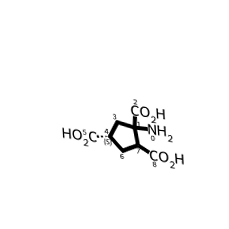 NC1(C(=O)O)C[C@@H](C(=O)O)CC1C(=O)O